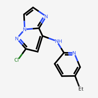 CCc1ccc(Nc2cc(Cl)nn3ccnc23)nc1